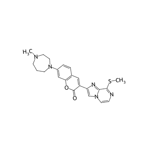 CSc1nccn2cc(-c3cc4ccc(N5CCCN(C)CC5)cc4oc3=O)nc12